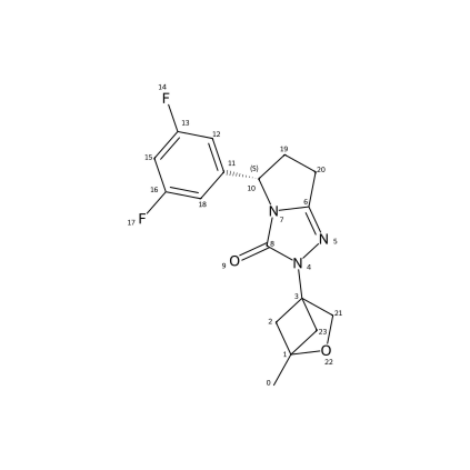 CC12CC(n3nc4n(c3=O)[C@H](c3cc(F)cc(F)c3)CC4)(CO1)C2